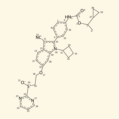 CC(OC(=O)Nc1ccc(-c2c(C#N)c3ccc(OCC[S+]([O-])c4ncccn4)cc3n2C2CCC2)cc1)C1CC1